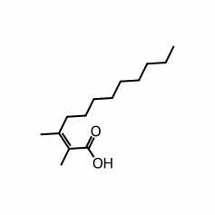 CCCCCCCCCC(C)=C(C)C(=O)O